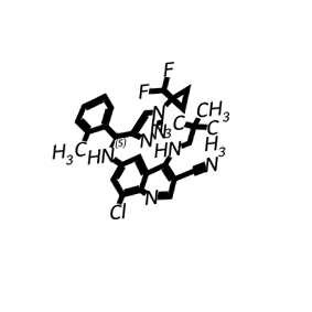 Cc1ccccc1[C@H](Nc1cc(Cl)c2ncc(C#N)c(NCC(C)(C)C)c2c1)c1cn(C2(C(F)F)CC2)nn1